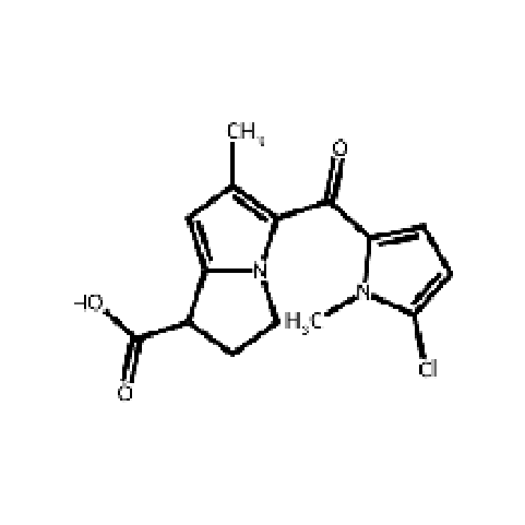 Cc1cc2n(c1C(=O)c1ccc(Cl)n1C)CCC2C(=O)O